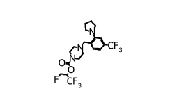 O=C(OC(CF)C(F)(F)F)N1CCN(Cc2ccc(C(F)(F)F)cc2N2CCCC2)CC1